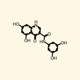 O=C(Nc1cc(O)cc(O)c1)c1c[nH]c2cc(O)cc(O)c2c1=O